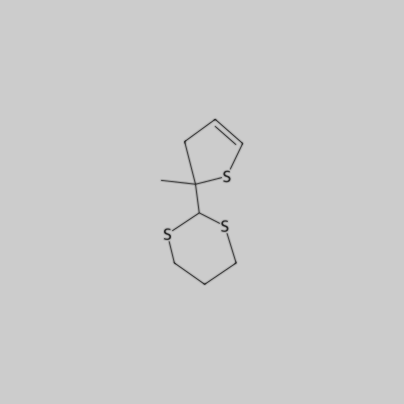 CC1(C2SCCCS2)CC=CS1